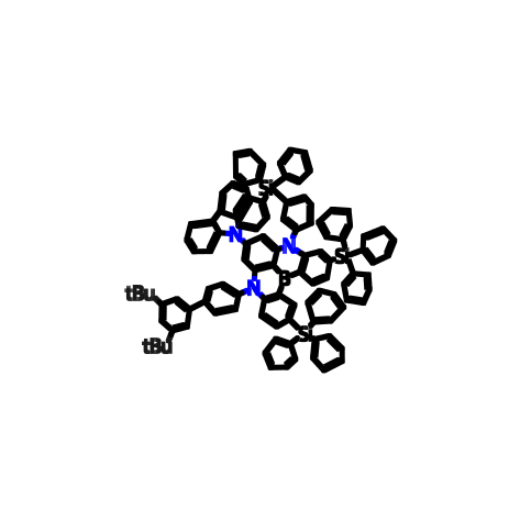 CC(C)(C)c1cc(-c2ccc(N3c4ccc([Si](c5ccccc5)(c5ccccc5)c5ccccc5)cc4B4c5ccc([Si](c6ccccc6)(c6ccccc6)c6ccccc6)cc5N(c5cccc([Si](c6ccccc6)(c6ccccc6)c6ccccc6)c5)c5cc(-n6c7ccccc7c7ccccc76)cc3c54)cc2)cc(C(C)(C)C)c1